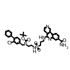 CC(C)(C)OC(=O)N(CCNS(=O)(=O)CCCNc1nc2cc(C(N)=O)ccc2c2cnccc12)Cc1ccc(-c2ccccc2)c(Cl)c1